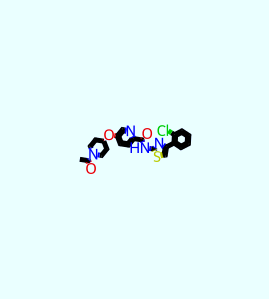 CC(=O)N1CCC(Oc2ccc(C(=O)Nc3nc(-c4ccccc4Cl)cs3)nc2)CC1